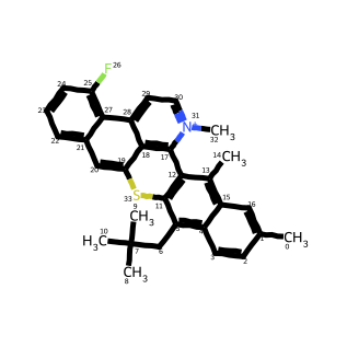 Cc1ccc2c(CC(C)(C)C)c3c(c(C)c2c1)-c1c2c(cc4cccc(F)c4c2cc[n+]1C)S3